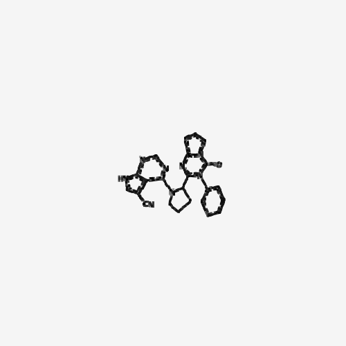 N#Cc1c[nH]c2ncnc(N3CCCC3c3nc4cccn4c(=O)n3-c3ccccc3)c12